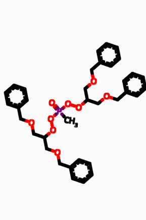 CP(=O)(OOC(COCc1ccccc1)COCc1ccccc1)OOC(COCc1ccccc1)COCc1ccccc1